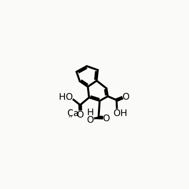 O=C(O)c1cc2ccccc2c(C(=O)O)c1C(=O)O.[Ca]